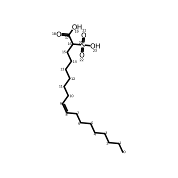 CCCCCCCC/C=C\CCCCCCC(C(=O)O)S(=O)(=O)O